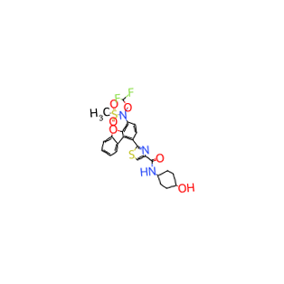 CS(=O)(=O)N(OC(F)F)c1ccc(-c2nc(C(=O)NC3CCC(O)CC3)cs2)c2c1oc1ccccc12